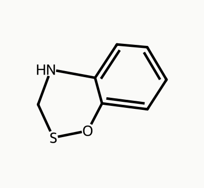 c1ccc2c(c1)NCSO2